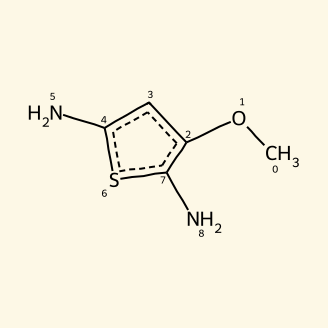 COc1cc(N)sc1N